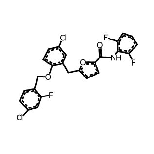 O=C(Nc1c(F)cccc1F)c1ccc(Cc2cc(Cl)ccc2OCc2ccc(Cl)cc2F)o1